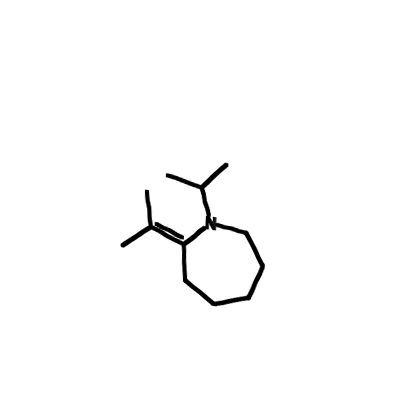 CC(C)=C1CCCCCN1C(C)C